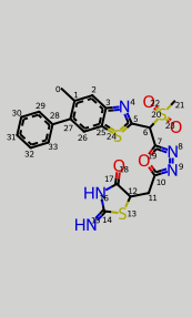 Cc1cc2nc(C(c3nnc(CC4SC(=N)NC4=O)o3)S(C)(=O)=O)sc2cc1-c1ccccc1